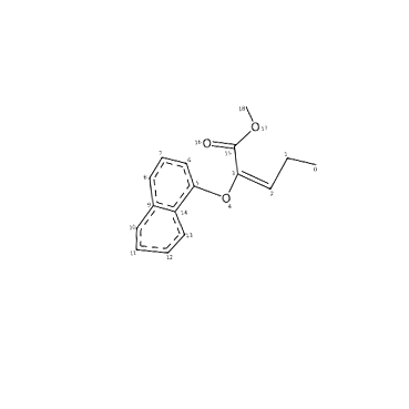 CCC=C(Oc1cccc2ccccc12)C(=O)OC